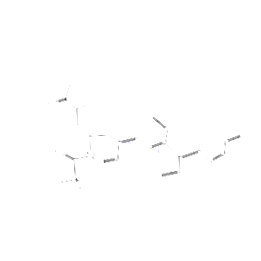 C=C\C=C/C=C(C=C)/C(C=C)=C/C=C(\C=C)CC(CC(O)C(=O)O)NC(=O)C(=O)O